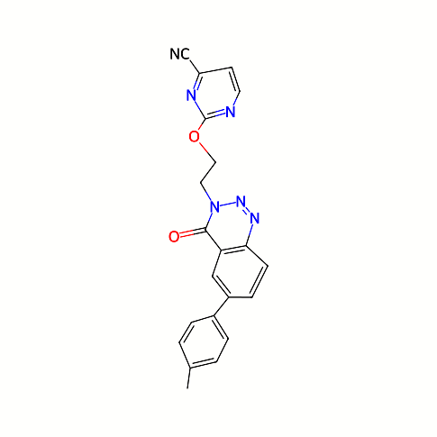 Cc1ccc(-c2ccc3nnn(CCOc4nccc(C#N)n4)c(=O)c3c2)cc1